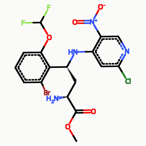 COC(=O)[C@H](N)C[C@@H](Nc1cc(Cl)ncc1[N+](=O)[O-])c1c(Br)cccc1OC(F)F